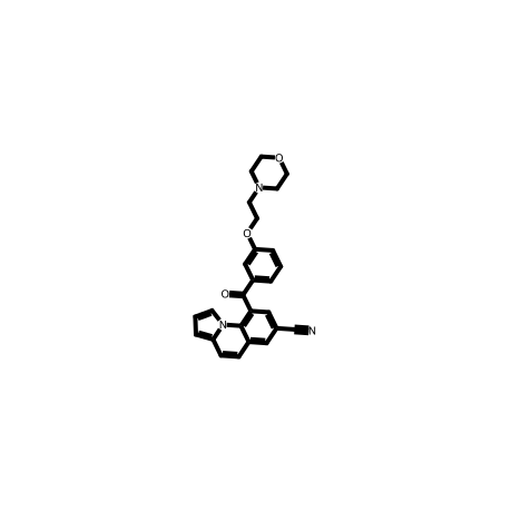 N#Cc1cc(C(=O)c2cccc(OCCN3CCOCC3)c2)c2c(ccc3cccn32)c1